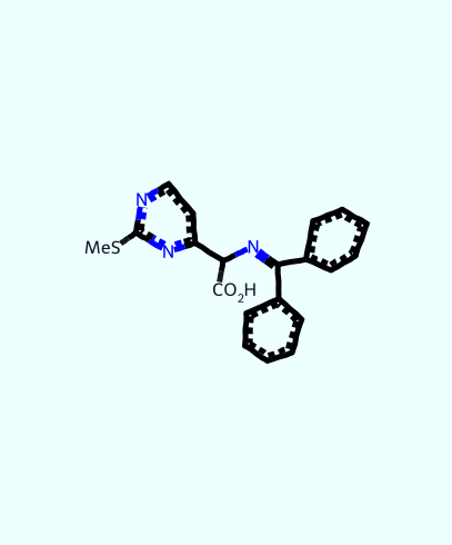 CSc1nccc(C(N=C(c2ccccc2)c2ccccc2)C(=O)O)n1